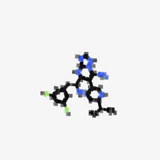 CC(C)c1ccc(-c2c(C(N)Cc3cc(F)cc(F)c3)nc3ncnn3c2N)cn1